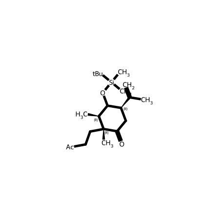 C=C(C)[C@H]1CC(=O)[C@](C)(CCC(C)=O)[C@@H](C)C1O[Si](C)(C)C(C)(C)C